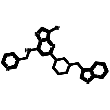 Brc1cnn2c(NCc3cccnc3)cc(C3CCCN(Cc4csc5ccccc45)C3)nc12